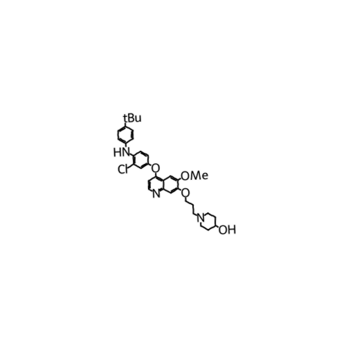 COc1cc2c(Oc3ccc(Nc4ccc(C(C)(C)C)cc4)c(Cl)c3)ccnc2cc1OCCCN1CCC(O)CC1